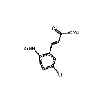 COC(=O)C=Cc1cc(Cl)ccc1NC(C)=O